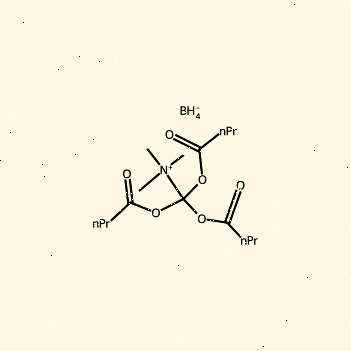 CCCC(=O)OC(OC(=O)CCC)(OC(=O)CCC)[N+](C)(C)C.[BH4-]